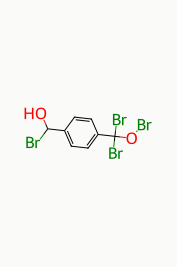 OC(Br)c1ccc(C(Br)(Br)OBr)cc1